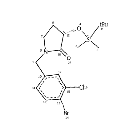 CC(C)(C)[Si](C)(C)O[C@H]1CCN(Cc2ccc(Br)c(Cl)c2)C1=O